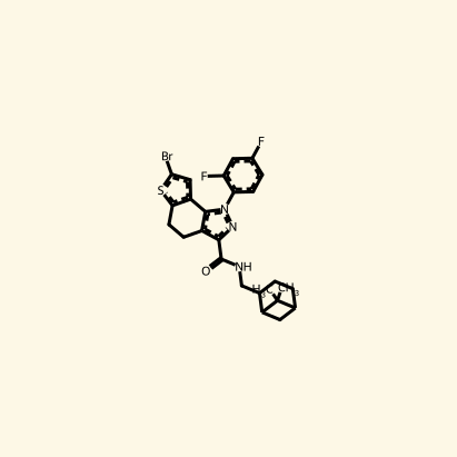 CC1(C)C2CCC(CNC(=O)c3nn(-c4ccc(F)cc4F)c4c3CCc3sc(Br)cc3-4)C1C2